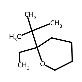 CCC1(C(C)(C)C)CCCCO1